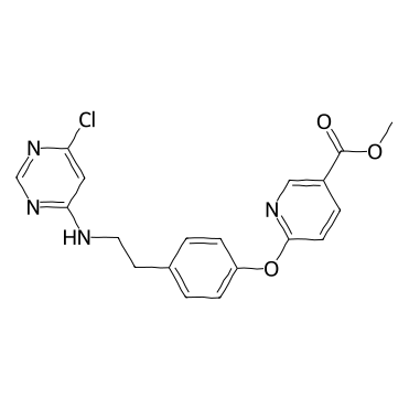 COC(=O)c1ccc(Oc2ccc(CCNc3cc(Cl)ncn3)cc2)nc1